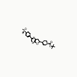 CC(C)(C)OC(=O)N1CCC(C2Cc3nc(-c4ccc(S(C)(=O)=O)cc4)cnc3O2)CC1